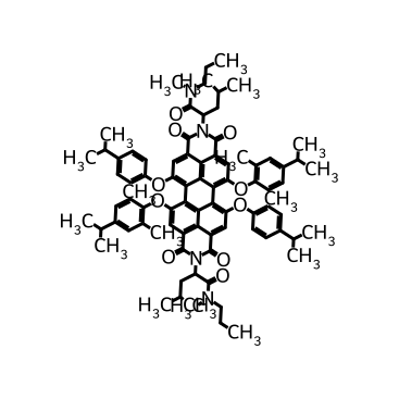 CCCN(C)C(=O)C(CC(C)C)N1C(=O)c2cc(Oc3ccc(C(C)C)cc3C)c3c4c(Oc5ccc(C(C)C)cc5C)cc5c6c(cc(Oc7ccc(C(C)C)cc7C)c(c7c(Oc8ccc(C(C)C)cc8C)cc(c2c37)C1=O)c64)C(=O)N(C(CC(C)C)C(=O)N(C)CCC)C5=O